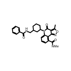 CNC(=O)c1cccc2c1c1noc(C)c1c(=O)n2C1CCCC(CNC(=O)c2ccccc2)C1